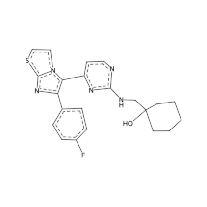 OC1(CNc2nccc(-c3c(-c4ccc(F)cc4)nc4sccn34)n2)CCCCC1